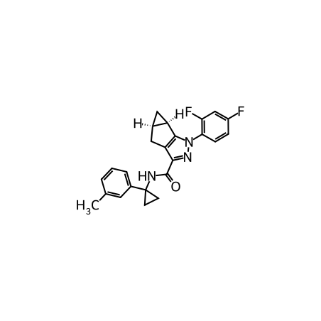 Cc1cccc(C2(NC(=O)c3nn(-c4ccc(F)cc4F)c4c3C[C@H]3C[C@@H]43)CC2)c1